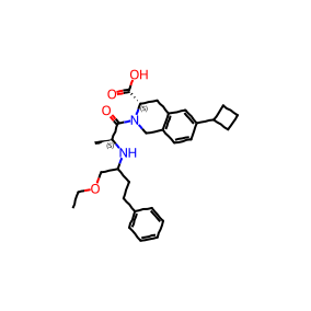 CCOCC(CCc1ccccc1)N[C@@H](C)C(=O)N1Cc2ccc(C3CCC3)cc2C[C@H]1C(=O)O